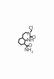 NC(=O)C1CCCC2CCN(CCl)C(=O)NC21